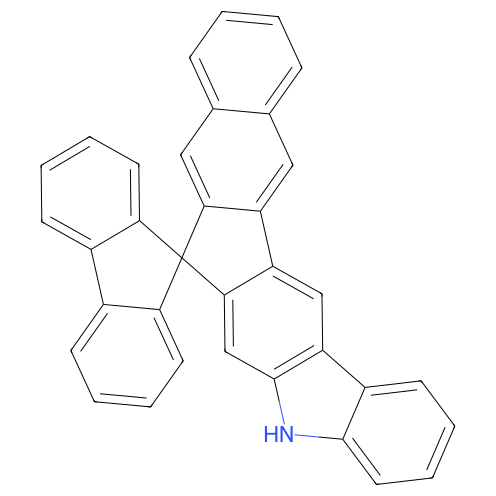 c1ccc2c(c1)-c1ccccc1C21c2cc3ccccc3cc2-c2cc3c(cc21)[nH]c1ccccc13